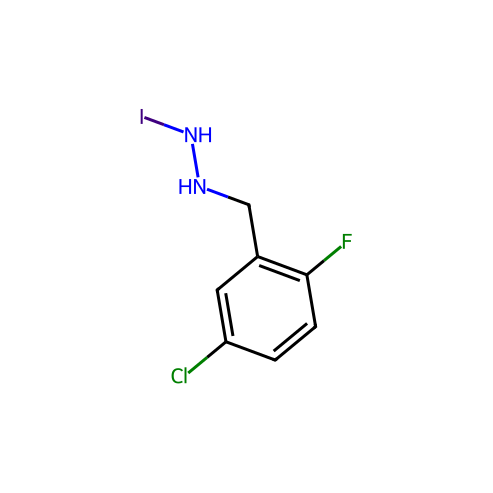 Fc1ccc(Cl)cc1CNNI